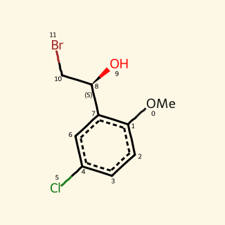 COc1ccc(Cl)cc1[C@H](O)CBr